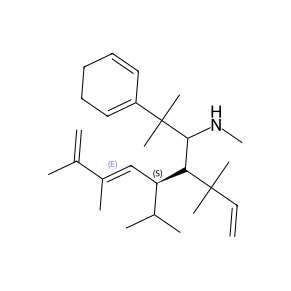 C=CC(C)(C)C(C(NC)C(C)(C)C1=CCCC=C1)[C@H](/C=C(\C)C(=C)C)C(C)C